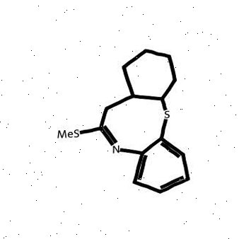 CS/C1=N/c2ccccc2SC2CCCCC2C1